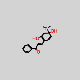 CN(C)C1(O)C=CC(C=CC(=O)c2ccccc2)=C(O)C1